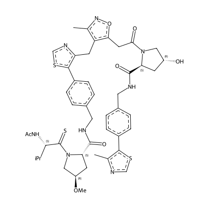 CO[C@@H]1C[C@@H](C(=O)NCc2ccc(-c3scnc3Cc3c(C)noc3CC(=O)N3C[C@H](O)C[C@H]3C(=O)NCc3ccc(-c4scnc4C)cc3)cc2)N(C(=S)[C@@H](NC(C)=O)C(C)C)C1